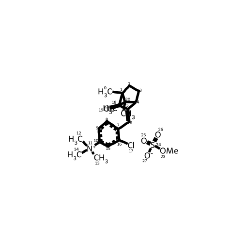 CC12CCC(C(=Cc3ccc([N+](C)(C)C)cc3Cl)C1=O)C2(C)C.COS(=O)(=O)[O-]